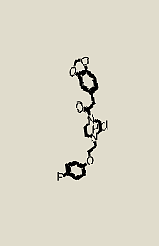 Cl.O=C(Cc1ccc2c(c1)OCO2)N1CCN(CCOc2ccc(F)cc2)CC1